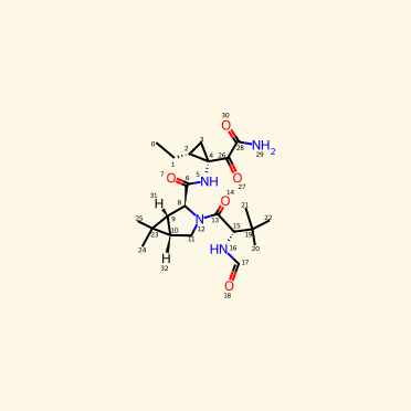 CC[C@@H]1C[C@@]1(NC(=O)[C@@H]1[C@@H]2[C@H](CN1C(=O)[C@@H](NC=O)C(C)(C)C)C2(C)C)C(=O)C(N)=O